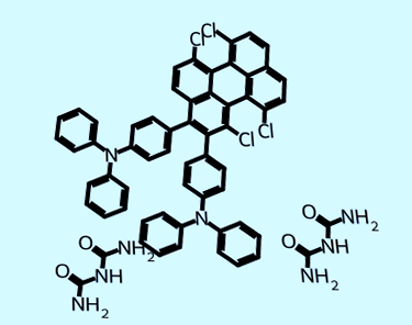 Clc1ccc2ccc(Cl)c3c4c(Cl)c(-c5ccc(N(c6ccccc6)c6ccccc6)cc5)c(-c5ccc(N(c6ccccc6)c6ccccc6)cc5)c5ccc(Cl)c(c1c23)c54.NC(=O)NC(N)=O.NC(=O)NC(N)=O